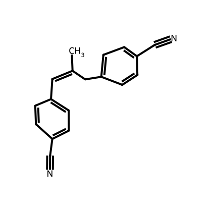 CC(=Cc1ccc(C#N)cc1)Cc1ccc(C#N)cc1